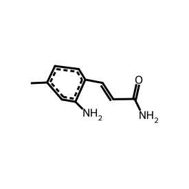 Cc1ccc(C=CC(N)=O)c(N)c1